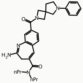 CCCN(CCC)C(=O)C1=Cc2ccc(C(=O)N3CC4(CCN(c5ccccc5)C4)C3)cc2N=C(N)C1